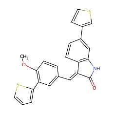 COc1ccc(/C=C2/C(=O)Nc3cc(-c4ccsc4)ccc32)cc1-c1cccs1